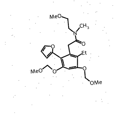 CCc1c(OCOC)cc(OCOC)c(-c2ccco2)c1CC(=O)N(C)CCOC